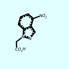 O=C(O)Cn1ncc2c([N+](=O)[O-])cccc21